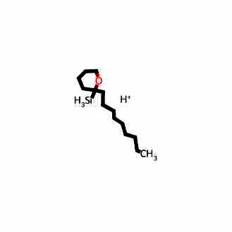 CCCCCCCCCC1([SiH3])CCCCO1.[H+]